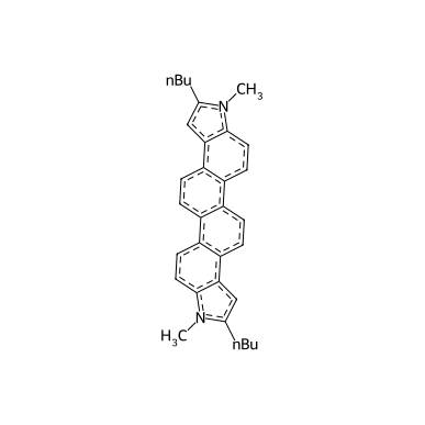 CCCCc1cc2c3ccc4c(ccc5c4ccc4c5cc(CCCC)n4C)c3ccc2n1C